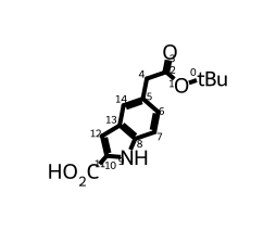 CC(C)(C)OC(=O)Cc1ccc2[nH]c(C(=O)O)cc2c1